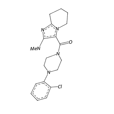 CNc1nc2n(c1C(=O)N1CCN(c3ccccc3Cl)CC1)CCCC2